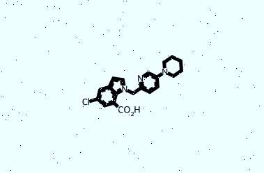 O=C(O)c1cc(Cl)cc2ccn(Cc3ccc(N4CCCCC4)cn3)c12